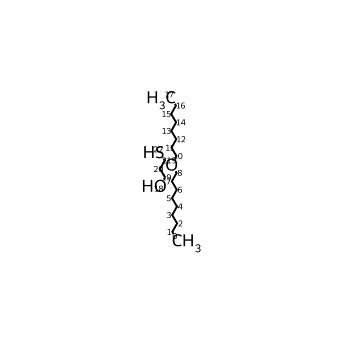 CCCCCCCCCOCCCCCCCC.OCCCS